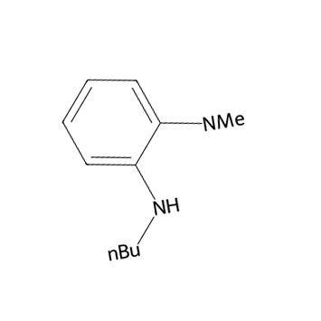 CCCCNc1ccccc1NC